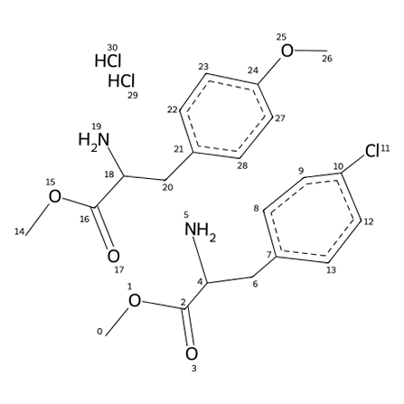 COC(=O)C(N)Cc1ccc(Cl)cc1.COC(=O)C(N)Cc1ccc(OC)cc1.Cl.Cl